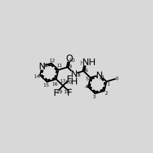 Cc1cccc(C(=N)NC(=O)c2cnccc2C(F)(F)F)n1